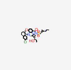 C=CC(O)[C@@H]1CC[C@H]1CN1C[C@@]2(CCCc3cc(Cl)ccc32)COc2ccc(C(=O)NS(=O)(=O)C[C@H]3C[C@H]3/C=C/C)cc21